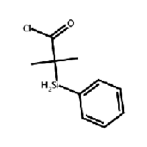 CC(C)([SiH2]c1ccccc1)C(=O)Cl